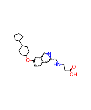 O=C(O)CCNCc1cc2ccc(O[C@H]3CC[C@H](C4CCCC4)CC3)cc2cn1